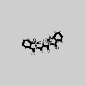 CCCCCCCC(C(=O)N1C(=O)c2ccccc2S1(=O)=O)C(=O)N1C(=O)c2ccccc2S1(=O)=O